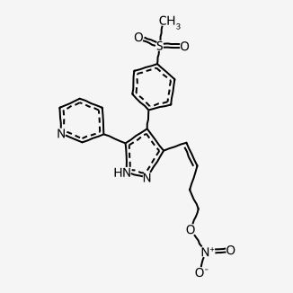 CS(=O)(=O)c1ccc(-c2c(/C=C\CCO[N+](=O)[O-])n[nH]c2-c2cccnc2)cc1